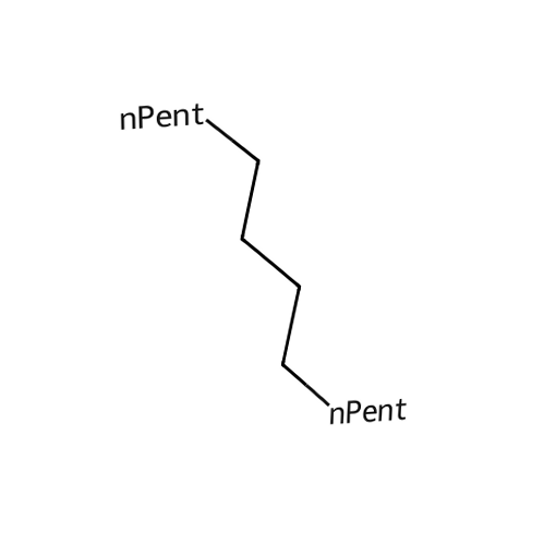 CCC[CH]CCCCCCCCCC